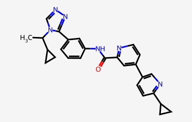 CC(C1CC1)n1cnnc1-c1cccc(NC(=O)c2cc(-c3ccc(C4CC4)nc3)ccn2)c1